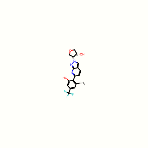 Cc1cc(C(F)(F)F)cc(O)c1-c1ccc2cn([C@@H]3COC[C@@H]3O)nc2n1